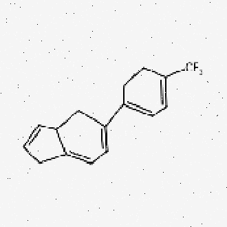 FC(F)(F)C1=CC=C(C2=CC=C3CC=CC3C2)CC1